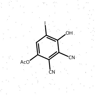 CC(=O)Oc1cc(I)c(O)c(C#N)c1C#N